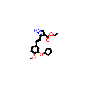 CCOC(=O)c1c[nH]nc1C=Cc1ccc(OC)c(OC2CCCC2)c1